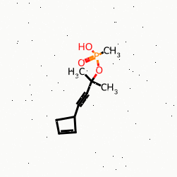 CC(C)(C#CC1C=CC1)OP(C)(=O)O